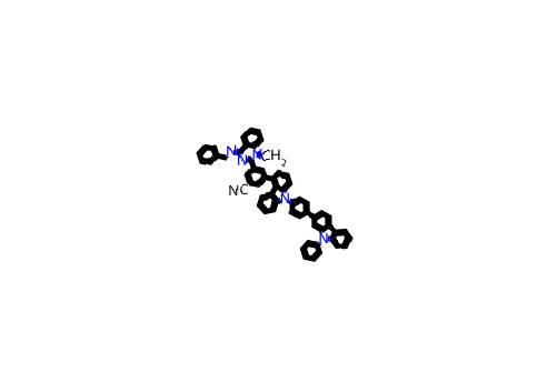 C=N/C(=N\C(=N/Cc1ccccc1)c1ccccc1)c1cc(C#N)cc(-c2cccc3c2c2ccccc2n3-c2ccc(-c3ccc4c5ccccc5n(-c5ccccc5)c4c3)cc2)c1